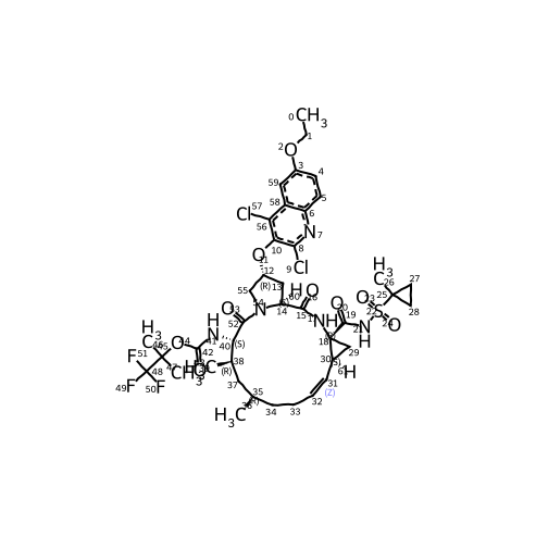 CCOc1ccc2nc(Cl)c(O[C@@H]3C[C@H]4C(=O)N[C@]5(C(=O)NS(=O)(=O)C6(C)CC6)C[C@H]5/C=C\CC[C@@H](C)C[C@@H](C)[C@H](NC(=O)OC(C)(C)C(F)(F)F)C(=O)N4C3)c(Cl)c2c1